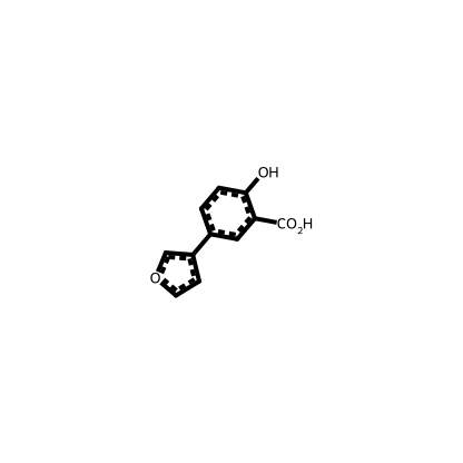 O=C(O)c1cc(-c2ccoc2)ccc1O